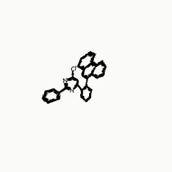 Clc1cc(-c2ccccc2-c2cc3ccccc3c3ccccc23)nc(-c2ccccc2)n1